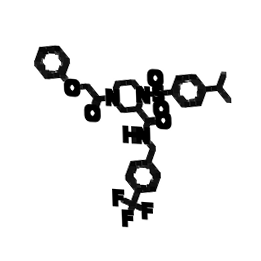 CC(C)c1ccc(S(=O)(=O)N2CCN(C(=O)COc3ccccc3)CC2C(=O)NCc2ccc(C(F)(F)F)cc2)cc1